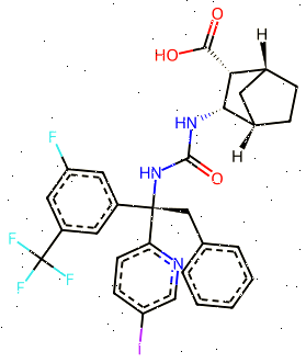 O=C(N[C@H]1[C@H]2CC[C@H](C2)[C@H]1C(=O)O)N[C@@](Cc1ccccc1)(c1cc(F)cc(C(F)(F)F)c1)c1ccc(I)cn1